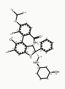 NC(=O)c1ccc(OC(F)F)c(F)c1-c1c(Cl)c(F)cc2c1C[C@@](CN[C@@H]1CCC[C@H](O)C1)(c1ccccc1)O2